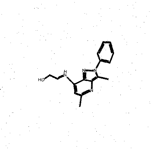 Cc1cc(NCCO)c2nn(-c3ccccc3)c(C)c2n1